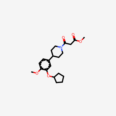 COC(=O)CC(=O)N1CCC(c2ccc(OC)c(OC3CCCC3)c2)CC1